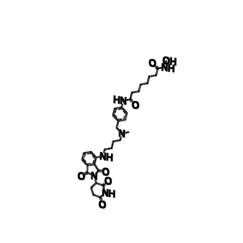 CN(CCCCNc1cccc2c1C(=O)N(C1CCC(=O)NC1=O)C2=O)Cc1ccc(NC(=O)CCCCCCC(=O)NO)cc1